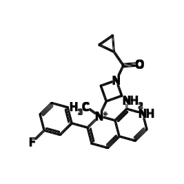 C[N+]1(C2CN(C(=O)C3CC3)C2)C(c2cccc(F)c2)=CC=C2C=CNC(N)=C21